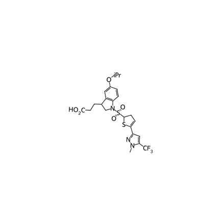 CC(C)Oc1ccc2c(c1)C(CCC(=O)O)CN2S(=O)(=O)C1CC=C(c2cc(C(F)(F)F)n(C)n2)S1